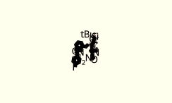 C[C@H](O[Si](C)(C)C(C)(C)C)[C@@H](CCc1cccc2oc(-c3ccc(F)cc3)nc12)n1cnc(C(N)=O)c1